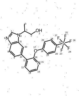 CC(CO)n1cnc2ccc(-c3cccnc3Oc3ccc(S(F)(F)(F)(F)F)cc3)cc21